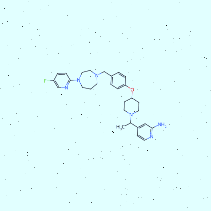 CC(c1ccnc(N)c1)N1CCC(Oc2ccc(CN3CCCN(c4ccc(F)cn4)CC3)cc2)CC1